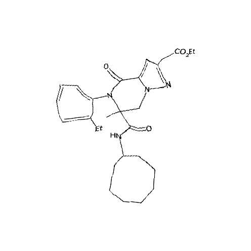 CCOC(=O)c1cc2n(n1)CC(C)(C(=O)NC1CCCCCCC1)N(c1ccccc1CC)C2=O